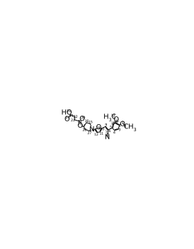 COc1ccc(C(C#N)=Cc2ccc(N3CCC(OC(=O)CCC(=O)O)CC3)o2)cc1OC